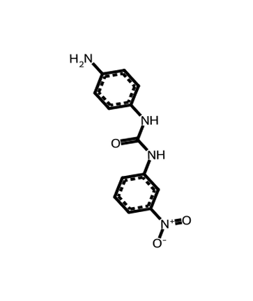 Nc1ccc(NC(=O)Nc2cccc([N+](=O)[O-])c2)cc1